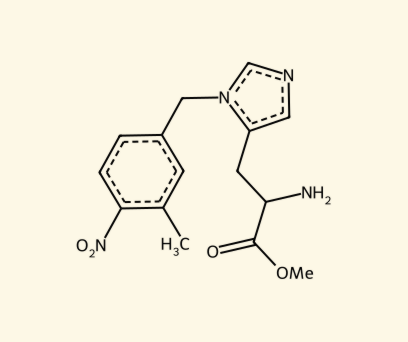 COC(=O)C(N)Cc1cncn1Cc1ccc([N+](=O)[O-])c(C)c1